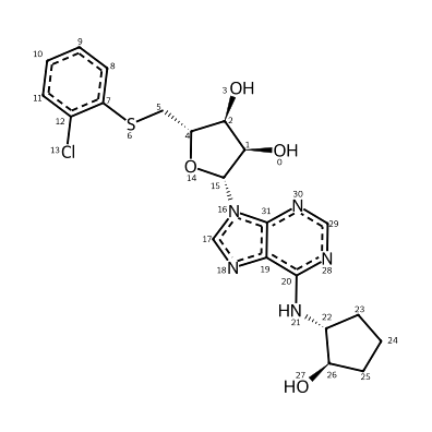 O[C@@H]1[C@H](O)[C@@H](CSc2ccccc2Cl)O[C@H]1n1cnc2c(N[C@@H]3CCC[C@H]3O)ncnc21